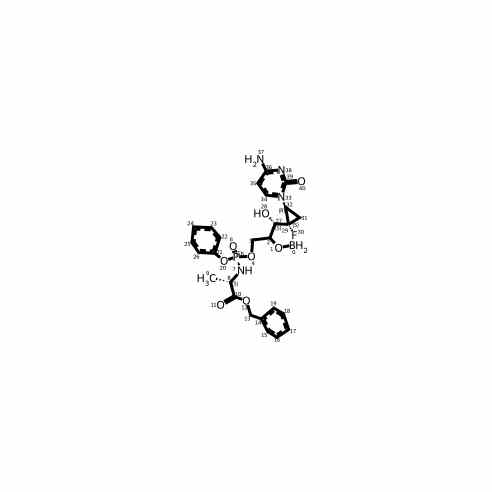 BOC(CO[P@@](=O)(N[C@@H](C)C(=O)OCc1ccccc1)Oc1ccccc1)[C@H](O)[C@]1(F)C[C@H]1n1ccc(N)nc1=O